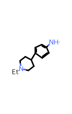 CCN1CCC(c2ccc([NH])cc2)CC1